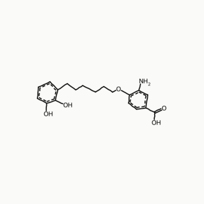 Nc1cc(C(=O)O)ccc1OCCCCCCc1cccc(O)c1O